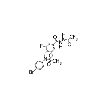 CS(=O)(=O)N(Cc1ccc(C(=O)NNC(=O)C(F)(F)F)cc1F)c1ccc(Br)cc1